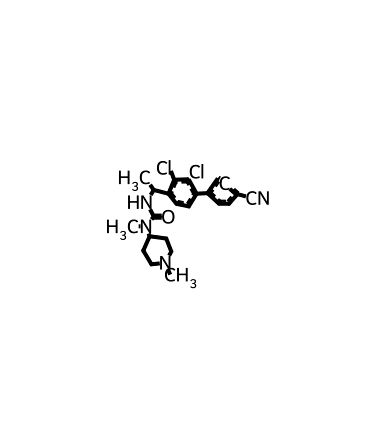 CC(NC(=O)N(C)C1CCN(C)CC1)c1ccc(-c2ccc(C#N)cc2)c(Cl)c1Cl